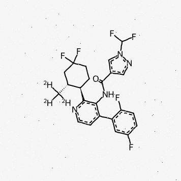 [2H]C([2H])([2H])[C@@H]1CC(F)(F)CC[C@H]1c1nccc(-c2cc(F)ccc2F)c1NC(=O)c1cnn(C(F)F)c1